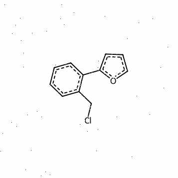 ClCc1ccccc1-c1ccco1